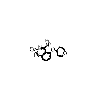 NC1=N[S+]([O-])Nc2cccc(OC3CCOCC3)c21